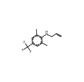 C=CCNc1c(C)cc(C(F)(F)F)cc1C